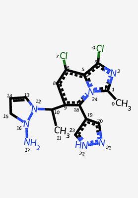 Cc1nc(Cl)c2c(Cl)cc(C(C)N3C=CCN3N)c(-c3cn[nH]c3)n12